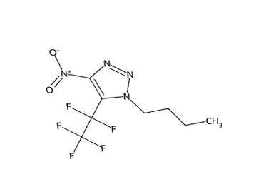 CCCCn1nnc([N+](=O)[O-])c1C(F)(F)C(F)(F)F